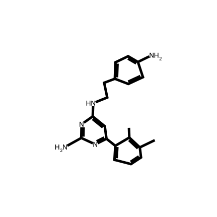 Cc1cccc(-c2cc(NCCc3ccc(N)cc3)nc(N)n2)c1C